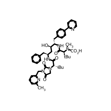 CCC(C)[C@@H](C(=O)N[C@@H](Cc1ccccc1)C[C@@H](O)[C@H](Cc1ccc(-c2ccccn2)cc1)NC(=O)[C@@H](N(C)C(=O)O)C(C)(C)C)N1CC(=O)N(Cc2cccc(C)n2)C1=O